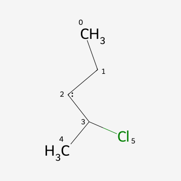 CC[C]C(C)Cl